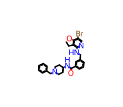 O=C(NC1CCN(Cc2ccccc2)CC1)c1cccc(CNc2ncc(Br)c3c2CCO3)c1